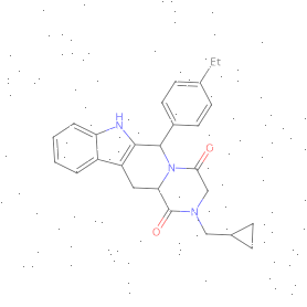 CCc1ccc(C2c3[nH]c4ccccc4c3CC3C(=O)N(CC4CC4)CC(=O)N32)cc1